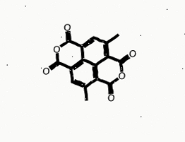 Cc1cc2c3c(cc(C)c4c3c1C(=O)OC4=O)C(=O)OC2=O